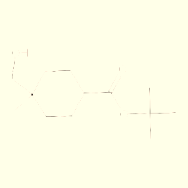 CC1(CO)CCC(C(=O)OC(C)(C)C)CC1